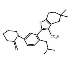 CN(C)Cc1ccc(N2CCCCC2=O)cc1-c1sc2c(c1C(=O)O)CC(C)(C)CC2